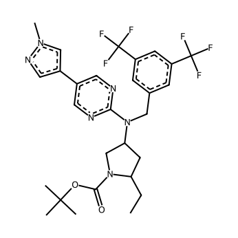 CCC1CC(N(Cc2cc(C(F)(F)F)cc(C(F)(F)F)c2)c2ncc(-c3cnn(C)c3)cn2)CN1C(=O)OC(C)(C)C